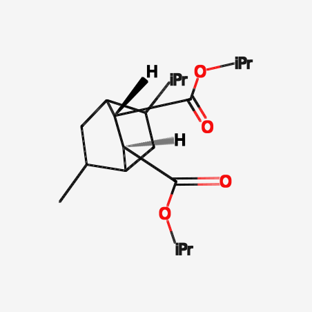 CC(C)OC(=O)[C@H]1C2CC(C(C)C)C(CC2C)[C@@H]1C(=O)OC(C)C